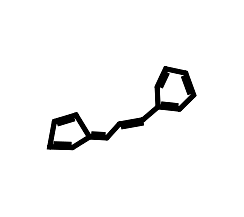 C1=CC(=C/C=C/c2ccccc2)C=C1